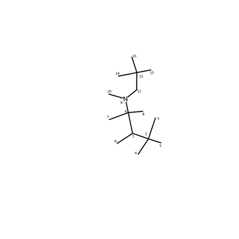 CC(C(C)(C)C)C(C)(C)N(C)CC(C)(C)C